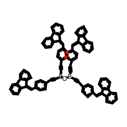 C(#Cc1ccc(C=C2c3ccccc3-c3ccccc32)cc1)B(C#Cc1ccc(C=C2c3ccccc3-c3ccccc32)cc1)OB(C#Cc1ccc(C=C2c3ccccc3-c3ccccc32)cc1)C#Cc1ccc(C=C2c3ccccc3-c3ccccc32)cc1